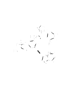 O=C(Nc1cccc(C#Cc2cnc3cccnn23)c1)N1N=CCC1c1cc(F)cc(F)c1.O=C(O)C(F)(F)F